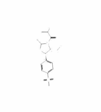 CC1O[C@H](c2ccc(S(C)(=O)=O)cc2)[C@@H](CF)N1C(=O)C(Cl)Cl